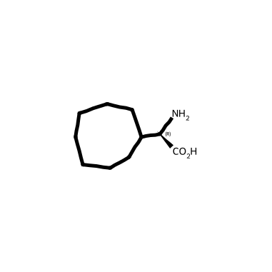 N[C@@H](C(=O)O)C1CCCCCCC1